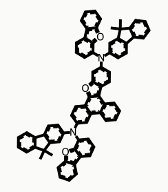 CC1(C)c2ccccc2-c2ccc(N(c3ccc4c(c3)oc3c5ccc(N(c6ccc7c(c6)C(C)(C)c6ccccc6-7)c6cccc7c6oc6ccccc67)cc5c5ccccc5c43)c3cccc4c3oc3ccccc34)cc21